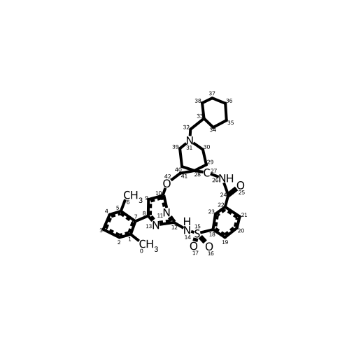 Cc1cccc(C)c1-c1cc2nc(n1)NS(=O)(=O)c1cccc(c1)C(=O)NCC1(CCN(CC3CCCCC3)CC1)CO2